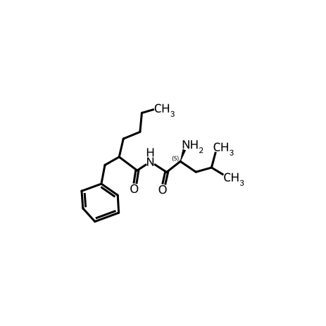 CCCCC(Cc1ccccc1)C(=O)NC(=O)[C@@H](N)CC(C)C